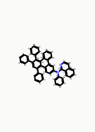 c1ccc(-c2cc(-c3ccccc3)c3c4ccc(N(c5ccccc5)c5nccc6ccccc56)cc4c4ccccc4c3c2-c2ccccc2)cc1